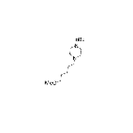 CCCCN1CCN(CCCCCOC)CC1